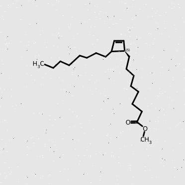 CCCCCCCCC1C=C[C@H]1CCCCCCCC(=O)OC